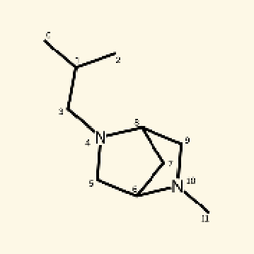 CC(C)CN1CC2CC1CN2C